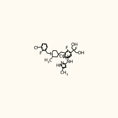 Cc1cc(Nc2cc(C(F)(CO)CO)c(F)c(C[C@@]3(C(=O)O)CCN(Cc4cccc(Cl)c4F)[C@H](C)C3)n2)n[nH]1